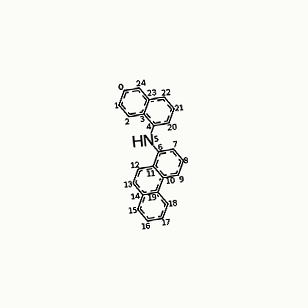 c1ccc2c(Nc3cccc4c3ccc3ccccc34)cccc2c1